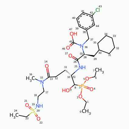 CCOP(=O)(OCC)C(O)[C@H](CCC(=O)N(C)CCNS(=O)(=O)CC)NC(=O)[C@H](CC1CCCCC1)N(Cc1cccc(Cl)c1)C(=O)O